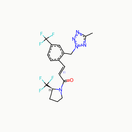 Cc1nnn(Cc2cc(C(F)(F)F)ccc2/C=C/C(=O)N2CCC[C@H]2C(F)(F)F)n1